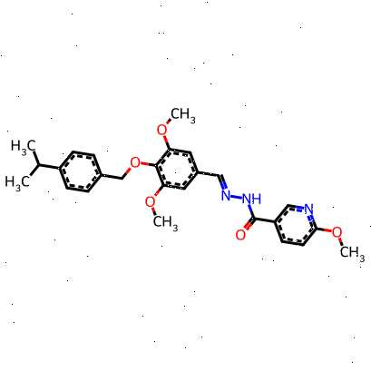 COc1ccc(C(=O)N/N=C/c2cc(OC)c(OCc3ccc(C(C)C)cc3)c(OC)c2)cn1